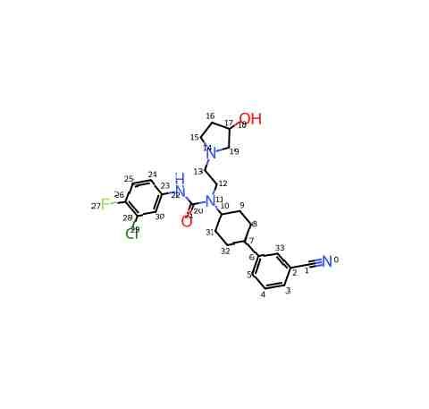 N#Cc1cccc(C2CCC(N(CCN3CCC(O)C3)C(=O)Nc3ccc(F)c(Cl)c3)CC2)c1